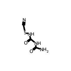 N#CSNC(=O)NC(N)=O